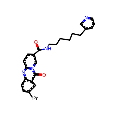 CC(C)c1ccc2nc3ccc(C(=O)NCCCCCCc4cccnc4)cn3c(=O)c2c1